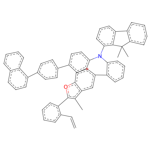 C=Cc1ccccc1-c1oc2ccc(-c3ccccc3N(c3ccc(-c4ccc(-c5cccc6ccccc56)cc4)cc3)c3cccc4c3C(C)(C)c3ccccc3-4)cc2c1C